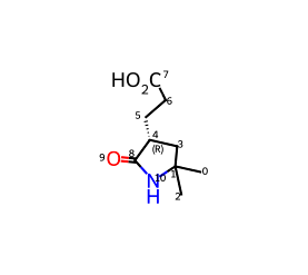 CC1(C)C[C@@H](CCC(=O)O)C(=O)N1